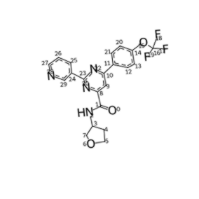 O=C(NC1CCOC1)c1cc(-c2ccc(OC(F)(F)F)cc2)nc(-c2cccnc2)n1